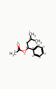 CC(=O)OC(CC(C)C)c1ccccc1